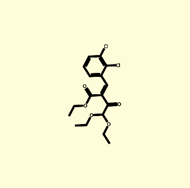 CCOC(=O)C(=Cc1cccc(Cl)c1Cl)C(=O)C(OCC)OCC